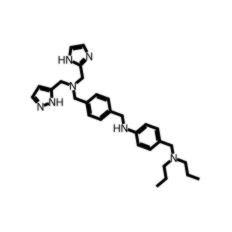 CCCN(CCC)Cc1ccc(NCc2ccc(CN(Cc3ccn[nH]3)Cc3ncc[nH]3)cc2)cc1